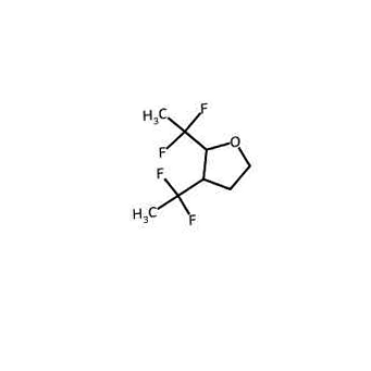 CC(F)(F)C1CCOC1C(C)(F)F